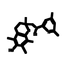 CCN(CC1(C)CCc2c(C)c(O)c(C)c(C)c2O1)c1cc(C)cc(C)n1